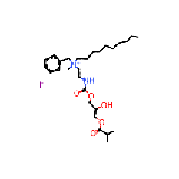 CCCCCCCCCC[N+](C)(CCNC(=O)OCC(O)COC(=O)C(C)C)Cc1ccccc1.[I-]